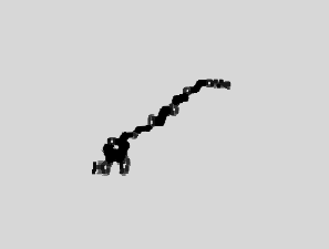 COCCOCCOCCOCCSCc1cc(=O)c(O)co1